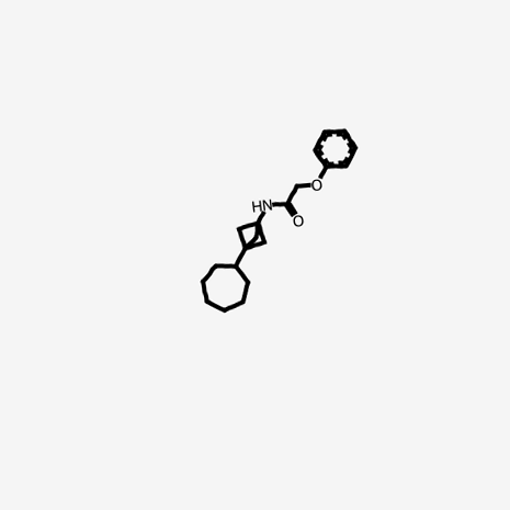 O=C(COc1ccccc1)NC12CC(C3CCCCCC3)(C1)C2